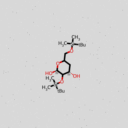 CC(C)(C)[Si](C)(C)OCC1C[C@H](O)C(O[Si](C)(C)C(C)(C)C)[C@@H](O)O1